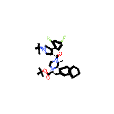 C[C@H]1CN([C@@H](Cc2ccc3c(c2)CCCC3)C(=O)OC(C)(C)C)CCN1C(=O)[C@@H]1CN(C(C)(C)C)C[C@H]1c1ccc(F)cc1F